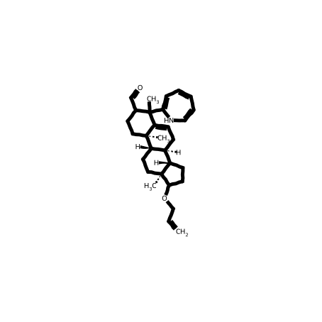 C=CCOC1CC[C@H]2[C@@H]3CC=C4C(C)(C5=CC=CC=CN5)C(C=O)CC[C@]4(C)[C@H]3CC[C@]12C